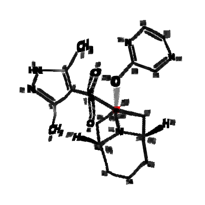 Cc1n[nH]c(C)c1S(=O)(=O)CN1[C@@H]2CCC[C@H]1C[C@@H](Oc1cnccn1)C2